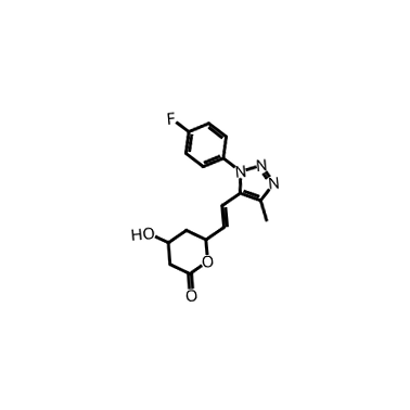 Cc1nnn(-c2ccc(F)cc2)c1/C=C/C1CC(O)CC(=O)O1